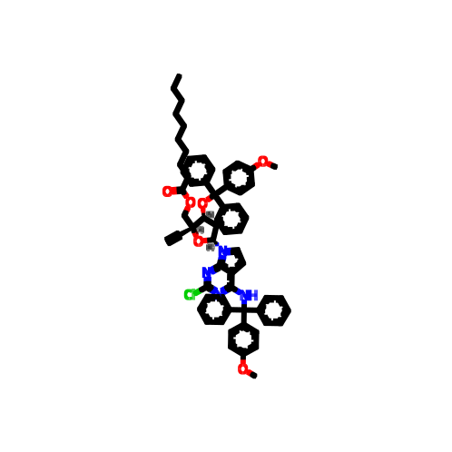 C#C[C@]1(COC(=O)CCCCCCCCC)O[C@@H](n2ccc3c(NC(c4ccccc4)(c4ccccc4)c4ccc(OC)cc4)nc(Cl)nc32)C[C@@H]1OC(c1ccccc1)(c1ccccc1)c1ccc(OC)cc1